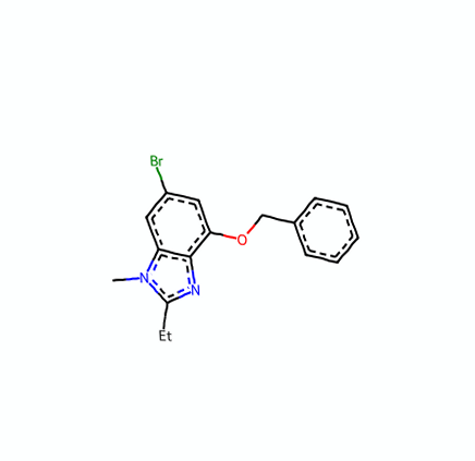 CCc1nc2c(OCc3ccccc3)cc(Br)cc2n1C